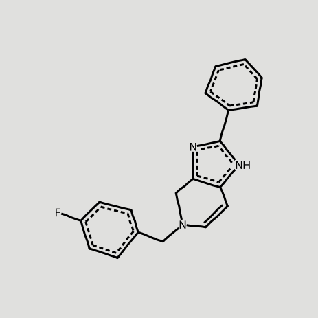 Fc1ccc(CN2C=Cc3[nH]c(-c4ccccc4)nc3C2)cc1